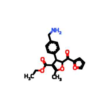 CCOC(=O)C1=C(C)OC(C(=O)c2ccco2)C1c1ccc(CN)cc1